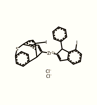 Ic1cccc2c1C(c1ccccc1)[C]([Zr+2][C]1=Cc3c4ccc(I)c3C1c1ccc(cc1)S4)=C2.[Cl-].[Cl-]